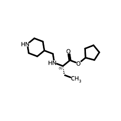 CC[C@H](NCC1CCNCC1)C(=O)OC1CCCC1